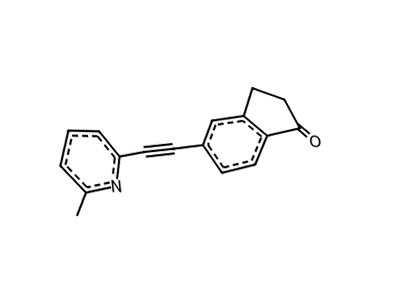 Cc1cccc(C#Cc2ccc3c(c2)CCC3=O)n1